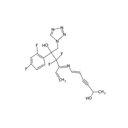 C=C/C(=N\C=C\C#CC(C)O)C(F)(F)C(O)(Cn1cnnn1)c1ccc(F)cc1F